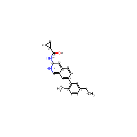 CCc1ccc(C)c(-c2ccc3c(c2)=CNC(NC(=O)C2CC2)C=3)c1